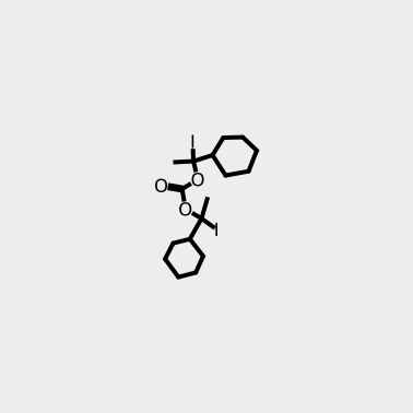 CC(I)(OC(=O)OC(C)(I)C1CCCCC1)C1CCCCC1